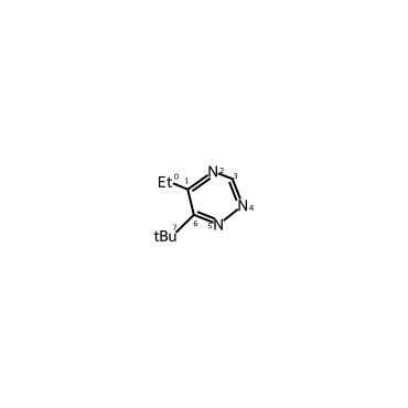 CCc1ncnnc1C(C)(C)C